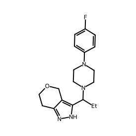 CCC(c1[nH]nc2c1COCC2)N1CCN(c2ccc(F)cc2)CC1